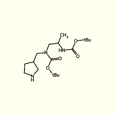 CC(CN(CC1CCNC1)C(=O)OC(C)(C)C)NC(=O)OC(C)(C)C